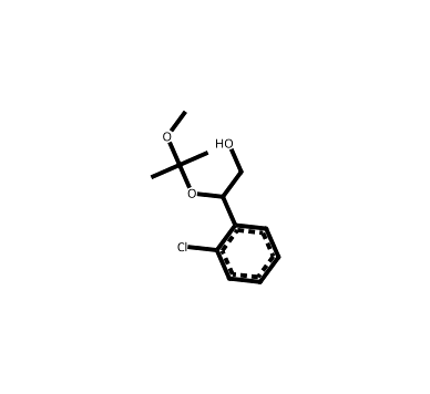 COC(C)(C)OC(CO)c1ccccc1Cl